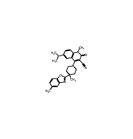 Cc1ccc2oc(C3(C)CCN(c4c(C#N)c(=O)n(C)c5ccc(P(C)C)cc45)CC3)nc2c1